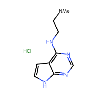 CNCCNc1ncnc2[nH]ccc12.Cl